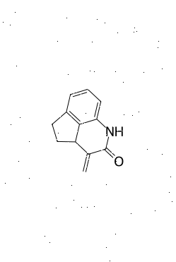 C=C1C(=O)Nc2cccc3c2C1CC3